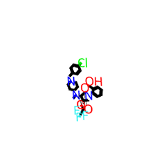 CN(C1CCN(Cc2ccc(Cl)cc2)CC1)[C@H]1CN(c2ccccc2C(=O)O)C[C@@H]1OC(=O)C(F)(F)F